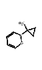 O=C(O)C1(N2C=CC=CO2)CC1